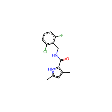 Cc1cc(C)c(C(=O)NCc2c(F)cccc2Cl)[nH]1